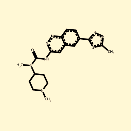 Cc1nnc(-c2ccc3nnc(NC(=O)N(C)C4CCN(C)CC4)cc3c2)s1